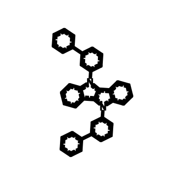 c1ccc(-c2cccc(-n3c4ccccc4c4c3c3ccccc3n4-c3cccc(-c4ccccc4)c3)c2)cc1